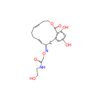 O=C(CO/N=C1\C=C\CC/C=C/CCOC(=O)c2c(O)cc(O)cc2C1)NCCO